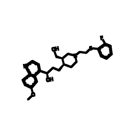 COc1ccc2nccc([C@H](O)CC[C@@H]3CCN(CCSc4ccccc4F)C[C@@H]3CO)c2c1